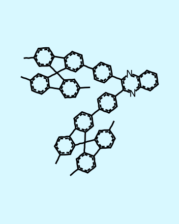 Cc1ccc2c(c1)C1(c3cc(C)ccc3-2)c2cc(C)ccc2-c2ccc(-c3ccc(-c4nc5ccccc5nc4-c4ccc(-c5ccc6c(c5)C5(c7cc(C)ccc7-c7ccc(C)cc75)c5cc(C)ccc5-6)cc4)cc3)cc21